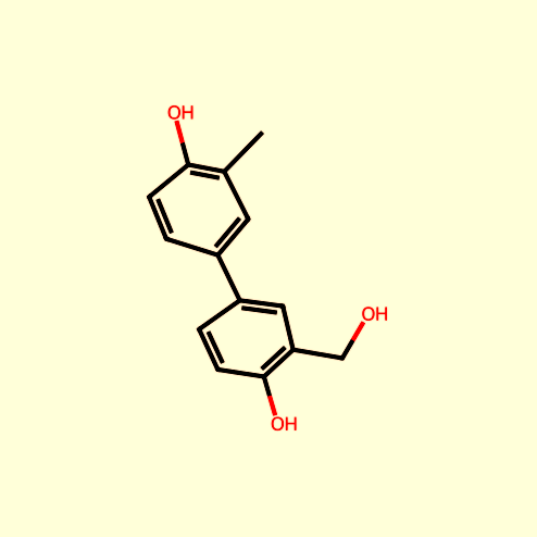 Cc1cc(-c2ccc(O)c(CO)c2)ccc1O